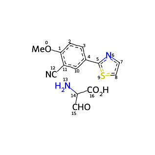 COc1ccc(-c2nccs2)cc1C#N.NC(C=O)C(=O)O